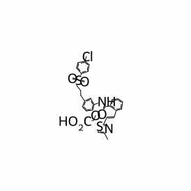 Cc1csc(C=Cc2ccccc2C(=O)Nc2cc(CCCS(=O)(=O)c3ccc(Cl)cc3)ccc2OCC(=O)O)n1